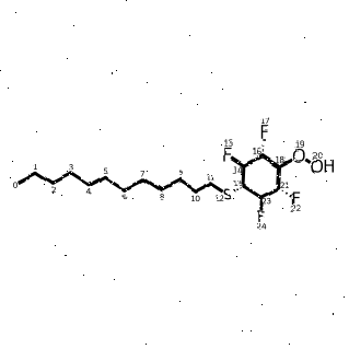 CCCCCCCCCCCCS[C@@H]1C(F)[C@H](F)C(OO)[C@H](F)C1F